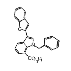 O=C(O)c1cccc2c(-c3cc4ccccc4o3)cn(Cc3ccccc3)c12